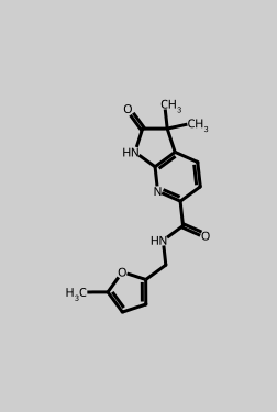 Cc1ccc(CNC(=O)c2ccc3c(n2)NC(=O)C3(C)C)o1